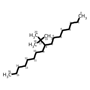 CCCCCCCC[C](CCCCCCCC)C(C)(C)C